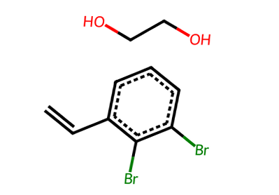 C=Cc1cccc(Br)c1Br.OCCO